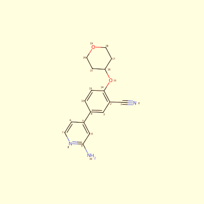 N#Cc1cc(-c2ccnc(N)c2)ccc1OC1CCOCC1